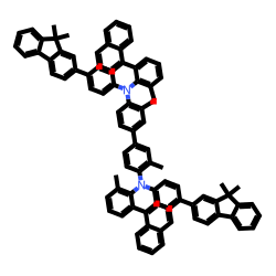 Cc1cc(-c2ccc(N(c3ccc(-c4ccc5c(c4)C(C)(C)c4ccccc4-5)cc3)c3c(C)cccc3-c3cccc4ccccc34)c(C)c2)ccc1N(c1ccc(-c2ccc3c(c2)C(C)(C)c2ccccc2-3)cc1)c1c(C)cccc1-c1cccc2ccccc12